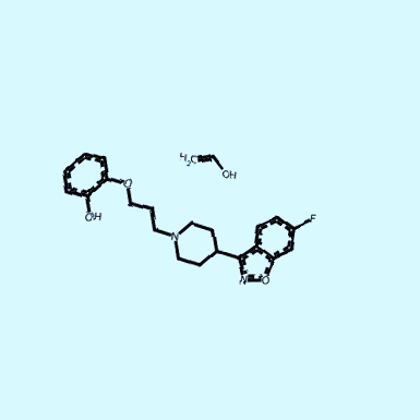 C=CO.Oc1ccccc1OCCCN1CCC(c2noc3cc(F)ccc23)CC1